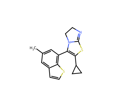 Cc1cc(C2=C(C3CC3)SC3=NCCN32)c2sccc2c1